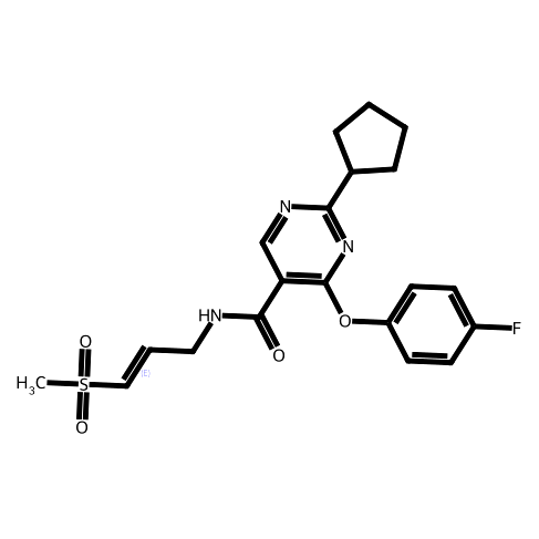 CS(=O)(=O)/C=C/CNC(=O)c1cnc(C2CCCC2)nc1Oc1ccc(F)cc1